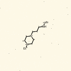 CCCNCCCN1CCN(CC)CC1